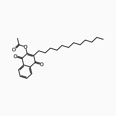 CCCCCCCCCCCCC1=C(OC(C)=O)C(=O)c2ccccc2C1=O